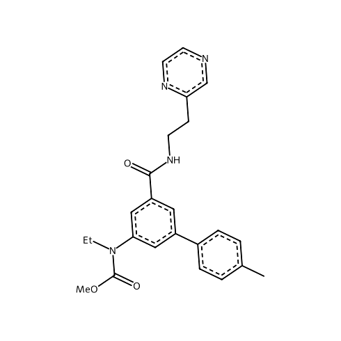 CCN(C(=O)OC)c1cc(C(=O)NCCc2cnccn2)cc(-c2ccc(C)cc2)c1